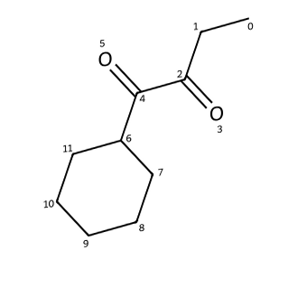 CCC(=O)C(=O)C1CCCCC1